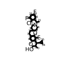 CC(C(=O)O)C(c1ccc2c(c1F)OC1(CC2)CCN(C(C)c2cc(F)cc(F)c2Cl)CC1)C1CC1